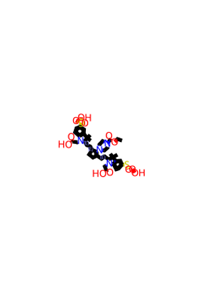 CCOC(=O)N1CCN(C2=C(/C=C/C3=[N+](CC(=O)O)c4ccc(SOOO)cc4C3(C)C)CC/C2=C\C=C2\N(CC(=O)O)c3ccc(S(=O)(=O)O)cc3C2(C)C)CC1